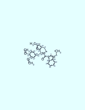 CCn1cc(C(=O)N2CCc3cc(C)sc3C2Cc2ccc(OC)c(OC)c2)c2ccccc21